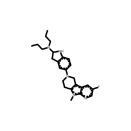 CCCN(CCC)C1Cc2cc(N3CCc4c(c5cc(F)cnc5n4C)C3)ccc2N1